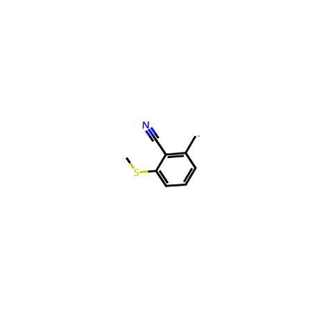 [CH2]c1cccc(SC)c1C#N